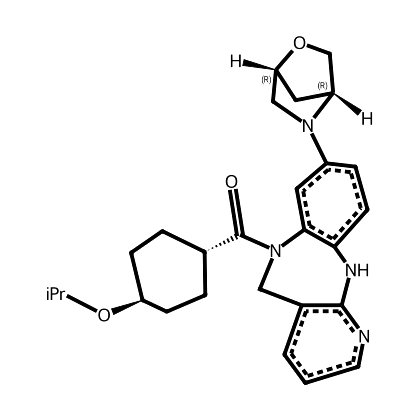 CC(C)O[C@H]1CC[C@H](C(=O)N2Cc3cccnc3Nc3ccc(N4C[C@H]5C[C@@H]4CO5)cc32)CC1